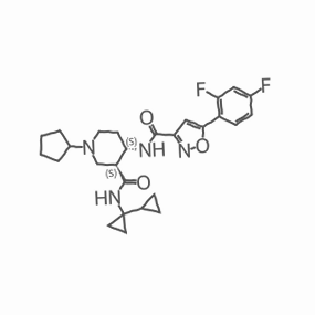 O=C(N[C@H]1CCN(C2CCCC2)C[C@@H]1C(=O)NC1(C2CC2)CC1)c1cc(-c2ccc(F)cc2F)on1